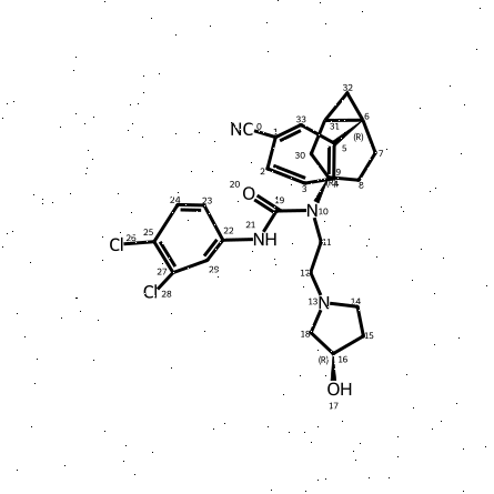 N#Cc1cccc([C@@]23CC[C@@H](N(CCN4CC[C@@H](O)C4)C(=O)Nc4ccc(Cl)c(Cl)c4)CC2C3)c1